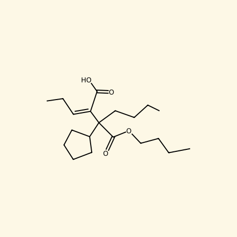 CCC=C(C(=O)O)C(CCCC)(C(=O)OCCCC)C1CCCC1